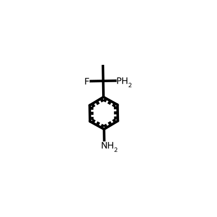 CC(F)(P)c1ccc(N)cc1